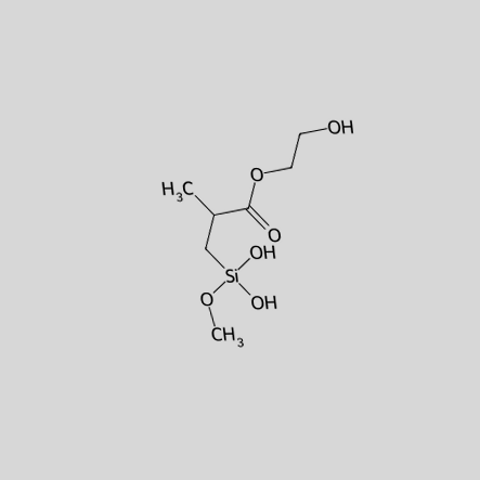 CO[Si](O)(O)CC(C)C(=O)OCCO